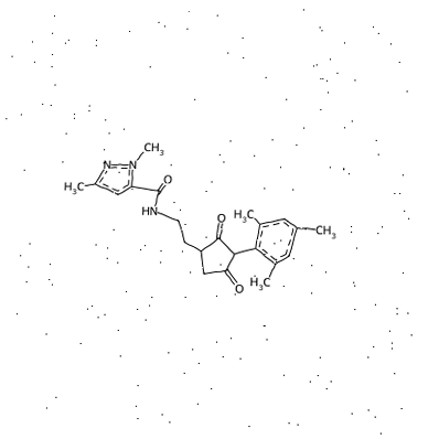 Cc1cc(C)c(C2C(=O)CC(CCNC(=O)c3cc(C)nn3C)C2=O)c(C)c1